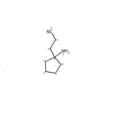 N#CCCC1(N)CCCC1